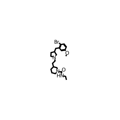 CCNC(=O)N1CCCC(CCN2CCC(Cc3cc(OC)ccc3Br)C2)C1